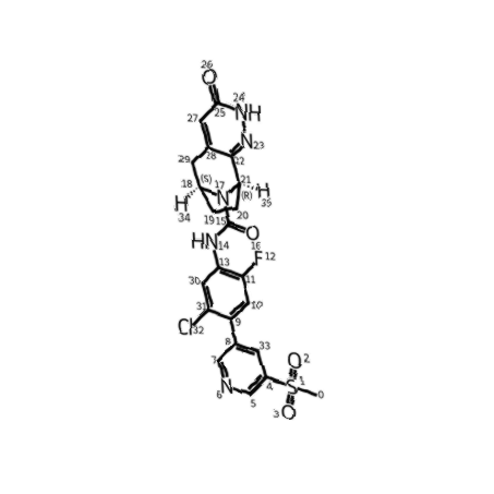 CS(=O)(=O)c1cncc(-c2cc(F)c(NC(=O)N3[C@H]4CC[C@@H]3c3n[nH]c(=O)cc3C4)cc2Cl)c1